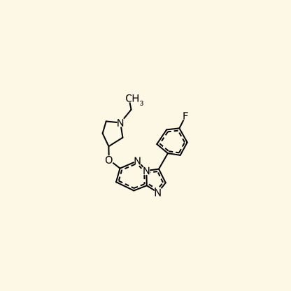 CCN1CCC(Oc2ccc3ncc(-c4ccc(F)cc4)n3n2)C1